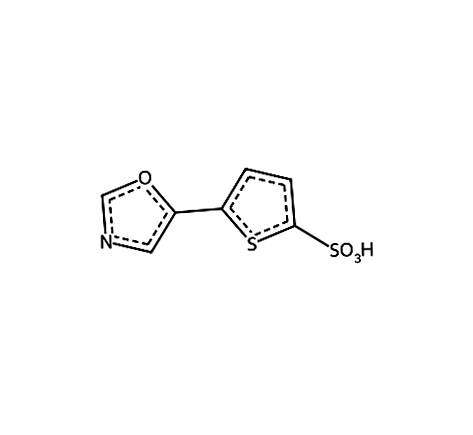 O=S(=O)(O)c1ccc(-c2cnco2)s1